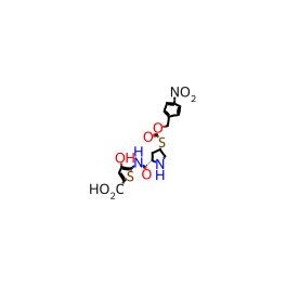 O=C(OCc1ccc([N+](=O)[O-])cc1)S[C@@H]1CN[C@H](C(=O)Nc2sc(C(=O)O)cc2O)C1